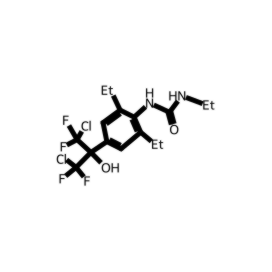 CCNC(=O)Nc1c(CC)cc(C(O)(C(F)(F)Cl)C(F)(F)Cl)cc1CC